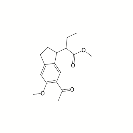 CCC(C(=O)OC)C1CCc2cc(OC)c(C(C)=O)cc21